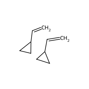 C=CC1CC1.C=CC1CC1